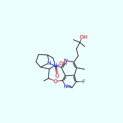 Cc1c(CCC(C)(C)O)nc2c3c(ncc(F)c13)OC(C)C1C3CCC(CN21)N3C(=O)O